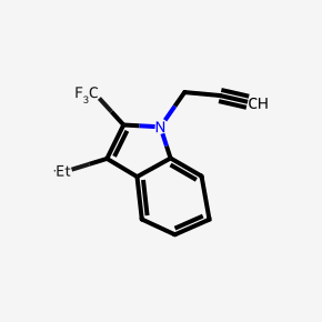 C#CCn1c(C(F)(F)F)c([CH]C)c2ccccc21